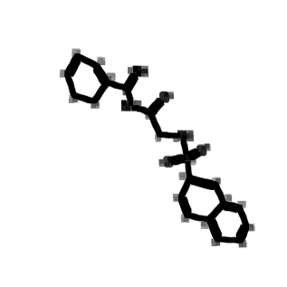 N=C(NC(=O)CNS(=O)(=O)c1ccc2ccccc2c1)C1=CC=CC[CH]1